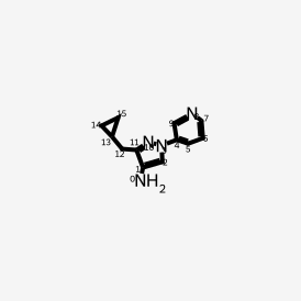 Nc1cn(-c2cccnc2)nc1CC1CC1